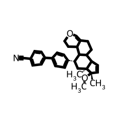 CO[C@@]1(C)C=CC2C3CCC4=COCCC4C3[C@@H](c3ccc(-c4ccc(C#N)cc4)cc3)C[C@@]21C